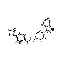 CC(=O)Nc1cnc(CCCN2CCN(c3n[nH]c4ccccc34)CC2)cc1C